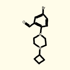 O=Cc1cc(Br)ccc1N1CCN(C2CCC2)CC1